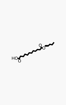 CCCC=COC(=O)CCCCCCCCCCC(=O)O